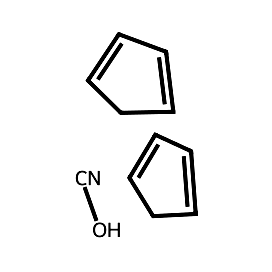 C1=CCC=C1.C1=CCC=C1.N#CO